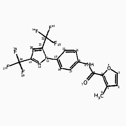 Cc1ccoc1C(=O)Nc1ccc(-n2nc(C(F)(F)F)cc2C(F)(F)F)cc1